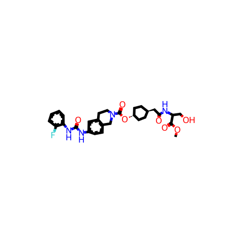 COC(=O)C(CO)NC(=O)C[C@H]1CC[C@H](OC(=O)N2CCc3cc(NC(=O)Nc4ccccc4F)ccc3C2)CC1